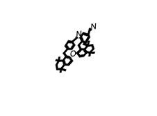 CC1(C)CCC(C)(C)c2c1ccc(Oc1ccc3c(c1Cc1ccc(C#N)cc1)C(C)(C)CCC3(C)C)c2Cc1ccc(C#N)cc1